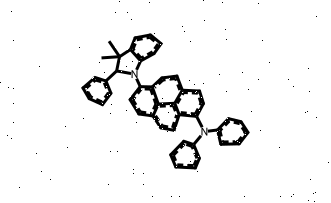 CC1(C)c2ccccc2N(c2ccc3ccc4c(N(c5ccccc5)c5ccccc5)ccc5ccc2c3c54)C1c1ccccc1